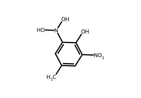 Cc1cc(N(O)O)c(O)c([N+](=O)[O-])c1